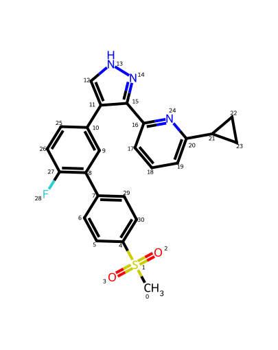 CS(=O)(=O)c1ccc(-c2cc(-c3c[nH]nc3-c3cccc(C4CC4)n3)ccc2F)cc1